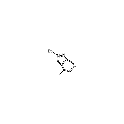 CCn1cc2c(C)c[c]cc2n1